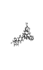 CCNC(=O)Nc1ccc(-c2nc3c(c(N4CCOCC4C)n2)CCN(CC(C)C)C3)cc1